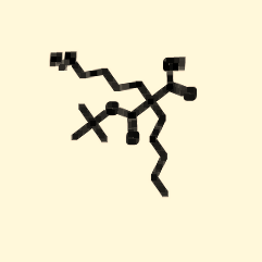 CCCCCC(CCCCN)(C(=O)O)C(=O)OC(C)(C)C